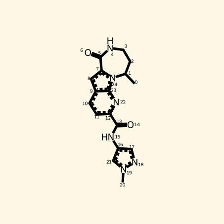 CC1CCNC(=O)c2cc3ccc(C(=O)Nc4cnn(C)c4)nc3n21